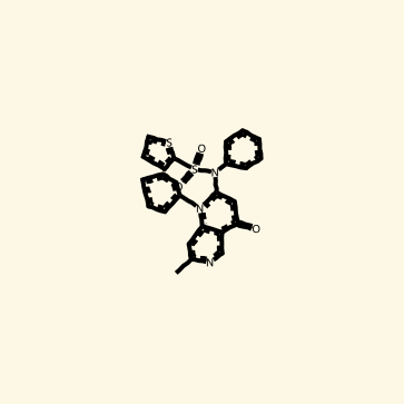 Cc1cc2c(cn1)c(=O)cc(N(c1ccccc1)S(=O)(=O)c1cccs1)n2-c1ccccc1